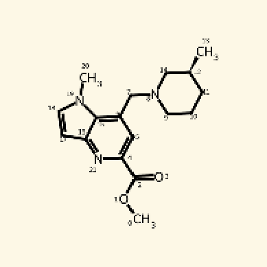 COC(=O)c1cc(CN2CCC[C@H](C)C2)c2c(ccn2C)n1